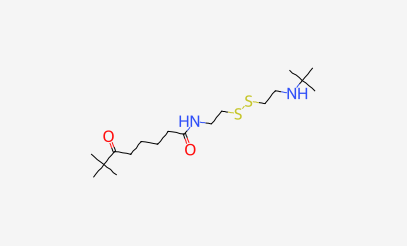 CC(C)(C)NCCSSCCNC(=O)CCCCC(=O)C(C)(C)C